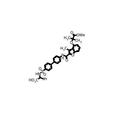 COC(=O)C(C)(C)Oc1cccc2oc(C(=O)Nc3ccc(-c4ccc(S(=O)(=O)NC(C(=O)O)C(C)C)cc4)cc3)c(C)c12